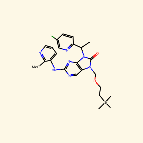 COc1ncccc1Nc1ncc2c(n1)n(C(C)c1ccc(F)cn1)c(=O)n2COCC[Si](C)(C)C